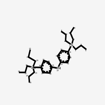 CCC[Si](CCC)(CCC)c1ccc(Pc2ccc([Si](CCC)(CCC)CCC)cc2)cc1